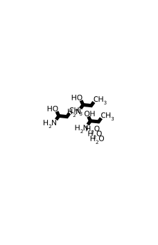 CCC(N)O.CCC(N)O.CCC(N)O.O.O.O